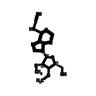 B=BNc1ncnc2c1ncn2[C@@H]1O[C@H](CO)C(OC)[C@@H]1OC